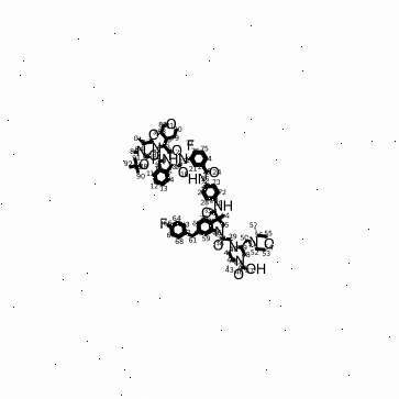 CC(C(=O)NC(C(=O)N1Cc2ccccc2[C@H]1C(=O)Nc1cc(C(=O)Nc2ccc(NC(=O)C3(C)CN(C(=O)CN4C[C@@H](C)N(C(=O)O)C[C@@H]4CN4CCOC[C@H]4C)c4cc(Cc5ccc(F)cc5)ccc43)cc2)ccc1F)C1CCOCC1)N(C)C(=O)OC(C)(C)C